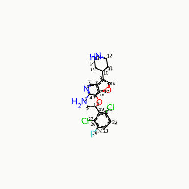 C[C@@H](Oc1c(N)ncc2c(C3CCNCC3)coc12)c1c(Cl)ccc(F)c1Cl